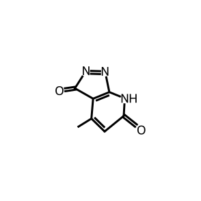 Cc1cc(=O)[nH]c2c1C(=O)N=N2